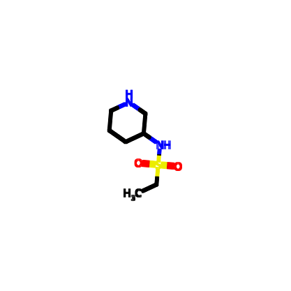 CCS(=O)(=O)NC1CCCNC1